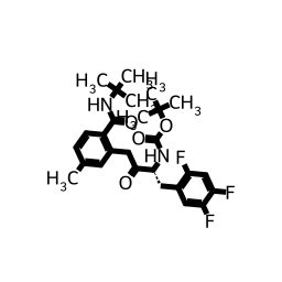 Cc1ccc(C(=O)NC(C)(C)C)c(CC(=O)[C@@H](Cc2cc(F)c(F)cc2F)NC(=O)OC(C)(C)C)c1